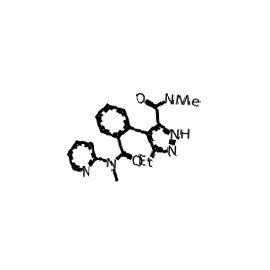 CCc1n[nH]c(C(=O)NC)c1-c1ccccc1C(=O)N(C)c1ccccn1